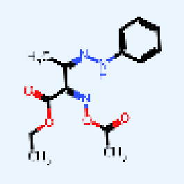 CCOC(=O)C(=NOC(C)=O)C(C)=NNc1ccccc1